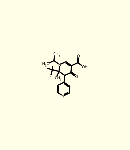 CC(C)N1C=C(C(=O)O)C(=O)C(c2ccncc2)C1(C)C(F)(F)F